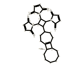 O=C1C=CC(=O)N1C1C(C2CCC3=C(CC2)[C@@H]2CCCCCCC32)C(N2C(=O)C=CC2=O)C1N1C(=O)C=CC1=O